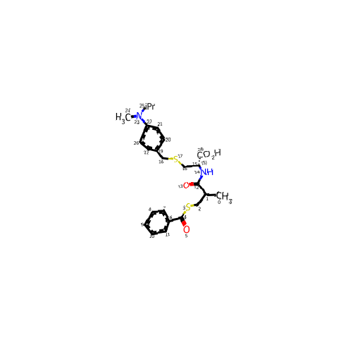 CC(CSC(=O)c1ccccc1)C(=O)N[C@H](CSCc1ccc(N(C)C(C)C)cc1)C(=O)O